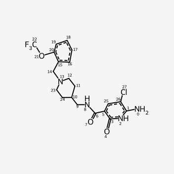 Nc1[nH]c(=O)c(C(=O)NCC2CCN(Cc3ccccc3OC(F)(F)F)CC2)cc1Cl